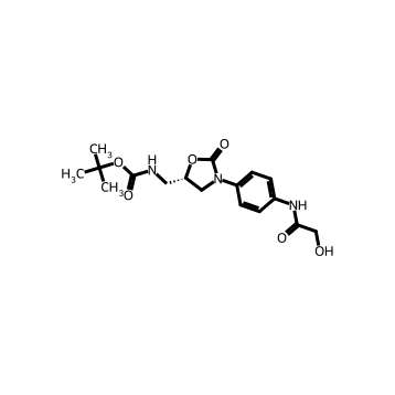 CC(C)(C)OC(=O)NC[C@H]1CN(c2ccc(NC(=O)CO)cc2)C(=O)O1